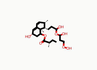 CC[C@H](C)C(=O)OC1C[C@H](O)C=C2C=C[C@H](C)[C@H](CCC(O)OC(O)CCOO)[C@]21C